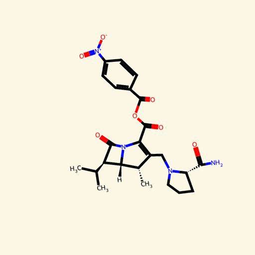 CC(C)[C@H]1C(=O)N2C(C(=O)OC(=O)c3ccc([N+](=O)[O-])cc3)=C(CN3CCC[C@H]3C(N)=O)[C@H](C)[C@H]12